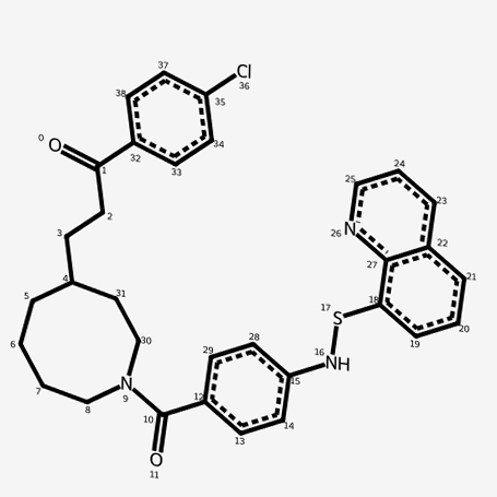 O=C(CCC1CCCCN(C(=O)c2ccc(NSc3cccc4cccnc34)cc2)CC1)c1ccc(Cl)cc1